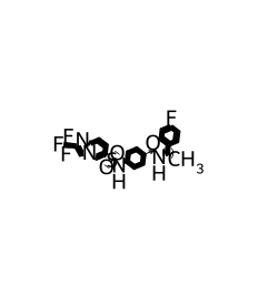 C[C@@H](NC(=O)[C@H]1CC[C@H](NS(=O)(=O)c2ccc3nc(C(F)(F)F)cn3c2)CC1)c1ccc(F)cc1